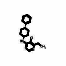 CCc1ncnc(N[C@H]2CC[C@@H](c3ccccc3)CC2)c1Cl